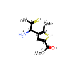 CCCC(=S)C(N)c1cc(C(=O)OC)sc1SC